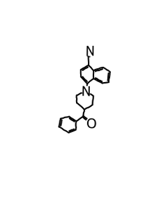 N#Cc1ccc(N2CCC(C(=O)c3ccccc3)CC2)c2ccccc12